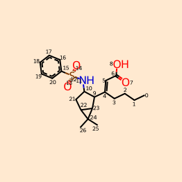 CCCCC(=CC(=O)O)C1C(NS(=O)(=O)c2ccccc2)CC2C1C2(C)C